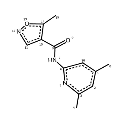 Cc1cc(C)nc(NC(=O)c2cnoc2C)c1